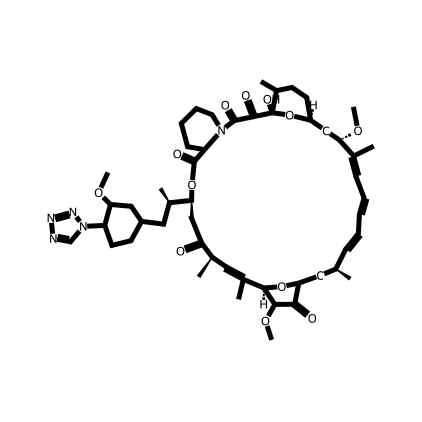 COC1CC(C[C@@H](C)[C@@H]2CC(=O)[C@H](C)/C=C(\C)[C@H]3OC(C[C@H](C)/C=C/C=C/C=C(\C)[C@@H](OC)C[C@@H]4CCC(C)C(O)(O4)C(=O)C(=O)N4CCCCC4C(=O)O2)C(=O)C3OC)CCC1n1cnnn1